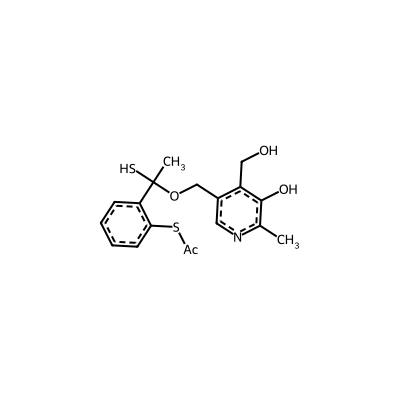 CC(=O)Sc1ccccc1C(C)(S)OCc1cnc(C)c(O)c1CO